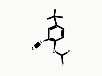 [C-]#[N+]c1cc(C(C)(C)C)ccc1OC(F)F